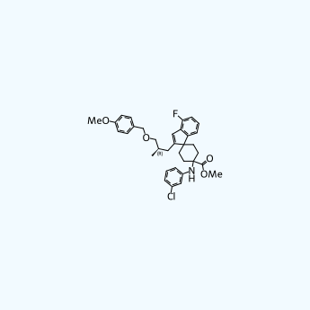 COC(=O)C1(Nc2cccc(Cl)c2)CCC2(CC1)C(C[C@@H](C)COCc1ccc(OC)cc1)=Cc1c(F)cccc12